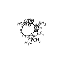 CC1(C)CC2CCCCCC(O)(C(F)(F)F)c3nnc(o3)-c3nc(c(C(F)(F)F)cc3N)N2C1